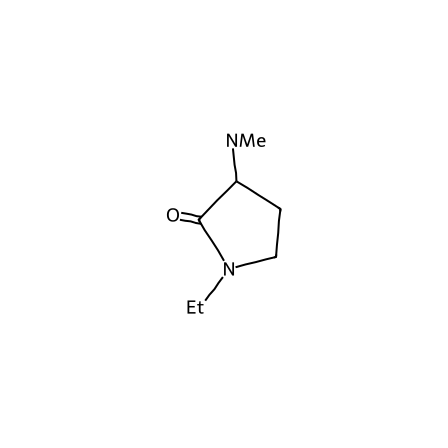 CCN1CCC(NC)C1=O